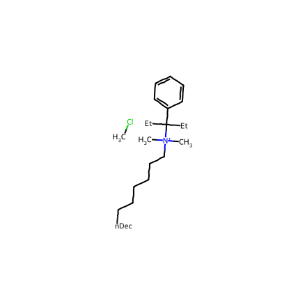 CCCCCCCCCCCCCCCC[N+](C)(C)C(CC)(CC)c1ccccc1.CCl